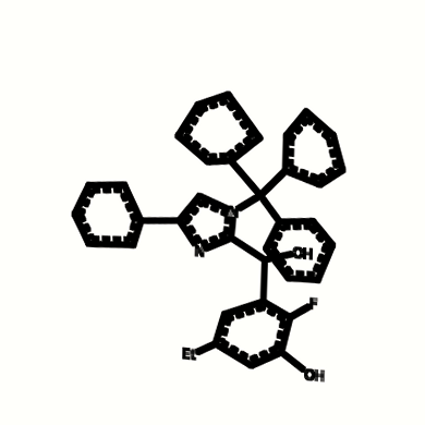 CCc1cc(O)c(F)c(C(O)c2nc(-c3ccccc3)cn2C(c2ccccc2)(c2ccccc2)c2ccccc2)c1